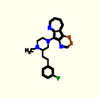 CN1CCN(c2c3nccccc-3c3c2N=CSS3)CC1CCc1cccc(F)c1